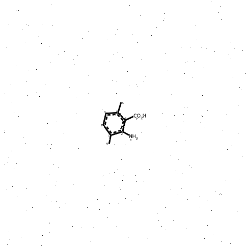 Cc1ccc(C)c(C(=O)O)c1N